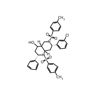 Cc1ccc(S(=O)(=O)N2C[C@H]3C(O)C[C@@H](c4ccccc4)N(S(=O)(=O)c4ccc(C)cc4)[C@H]3C[C@H]2c2cccc(Cl)c2)cc1